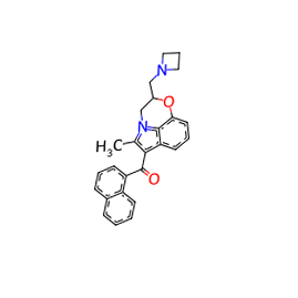 Cc1c(C(=O)c2cccc3ccccc23)c2cccc3c2n1CC(CN1CCC1)O3